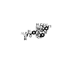 COc1cc(C(=O)NC(C)CO)ccc1NC(=O)[C@@H]1N[C@@H](CC(C)(C)C)[C@](C#N)(c2ccc(Cl)cc2F)[C@H]1c1cccc(Cl)c1F